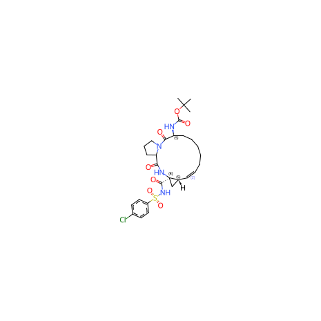 CC(C)(C)OC(=O)N[C@H]1CCCCC/C=C\[C@@H]2C[C@@]2(C(=O)NS(=O)(=O)c2ccc(Cl)cc2)NC(=O)C2CCCN2C1=O